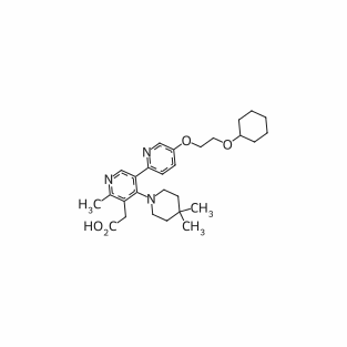 Cc1ncc(-c2ccc(OCCOC3CCCCC3)cn2)c(N2CCC(C)(C)CC2)c1CC(=O)O